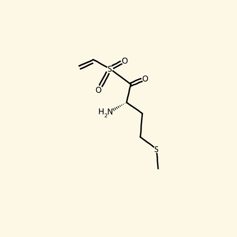 C=CS(=O)(=O)C(=O)[C@@H](N)CCSC